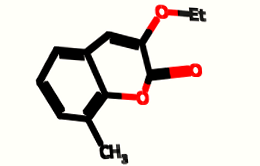 CCOc1cc2cccc(C)c2oc1=O